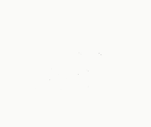 CCC(C)(Nc1nccc(Cl)n1)C(=O)OC(C)(C)C